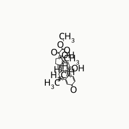 CCOC(=O)C(=O)[C@@]1(O)CC[C@H]2[C@@H]3C[C@H](C)C4=CC(=O)C=C[C@]4(C)[C@H]3[C@@H](O)C[C@@]21C